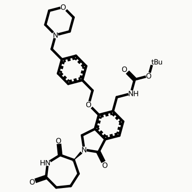 CC(C)(C)OC(=O)NCc1ccc2c(c1OCc1ccc(CN3CCOCC3)cc1)CN([C@H]1CCCC(=O)NC1=O)C2=O